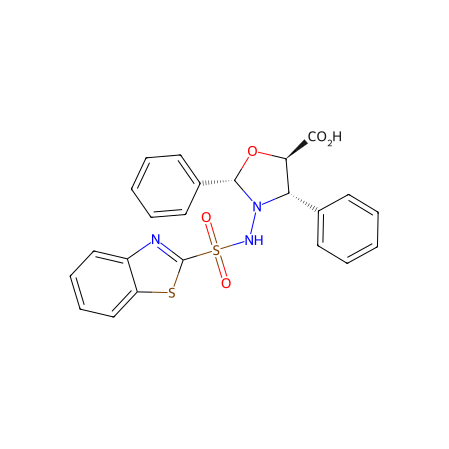 O=C(O)[C@@H]1O[C@@H](c2ccccc2)N(NS(=O)(=O)c2nc3ccccc3s2)[C@H]1c1ccccc1